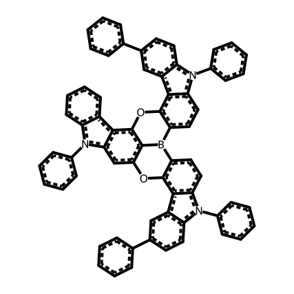 c1ccc(-c2ccc3c(c2)c2c4c(ccc2n3-c2ccccc2)B2c3ccc5c(c3Oc3c2c(cc2c3c3ccccc3n2-c2ccccc2)O4)c2cc(-c3ccccc3)ccc2n5-c2ccccc2)cc1